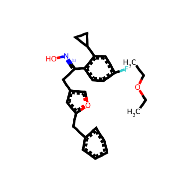 CCOCC.O/N=C(\Cc1coc(Cc2ccccc2)c1)c1ccc(F)cc1C1CC1